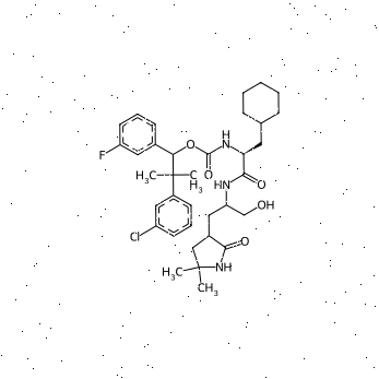 CC1(C)CC(CC(CO)NC(=O)[C@H](CC2CCCCC2)NC(=O)OC(c2cccc(F)c2)C(C)(C)c2cccc(Cl)c2)C(=O)N1